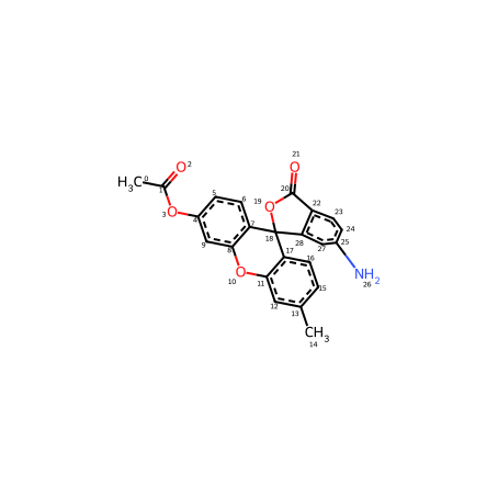 CC(=O)Oc1ccc2c(c1)Oc1cc(C)ccc1C21OC(=O)c2ccc(N)cc21